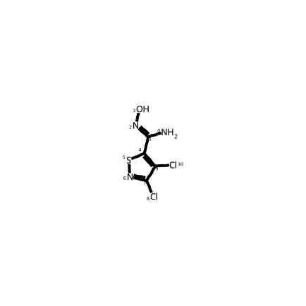 N/C(=N\O)c1snc(Cl)c1Cl